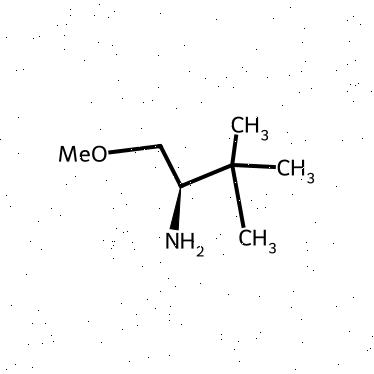 COC[C@H](N)C(C)(C)C